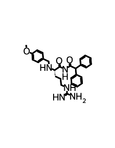 COc1ccc(CN[C@@H](CCCNC(=N)N)C(=O)NC(=O)C(c2ccccc2)c2ccccc2)cc1